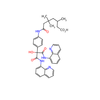 CC(CC(=O)O)CC(C)(C)CC(=O)Nc1ccc(C(O)(C(=O)Nc2cccc3cccnc23)C(=O)Nc2cccc3cccnc23)cc1